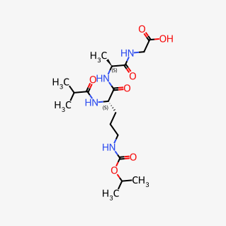 CC(C)OC(=O)NCCC[C@H](NC(=O)C(C)C)C(=O)N[C@@H](C)C(=O)NCC(=O)O